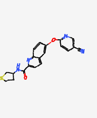 N#Cc1ccc(Oc2ccc3nc(C(=O)NC4CCS(=O)(=O)C4)ccc3c2)nc1